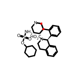 NS(=O)(=O)OC1CCCCC1.O=C(O)N1CCc2ccccc2[C@@H]1c1ccccc1C1CN2CCC1CC2